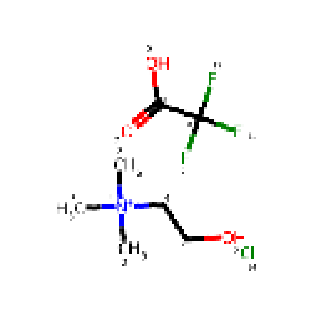 C[N+](C)(C)CCO.O=C(O)C(F)(F)F.[Cl-]